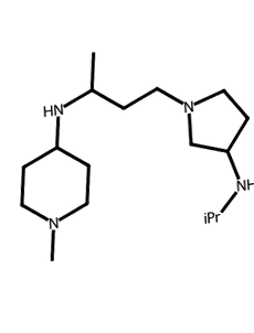 CC(C)NC1CCN(CCC(C)NC2CCN(C)CC2)C1